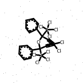 ClC#CC(OC(C#CCl)(c1ccccc1)I(Cl)(Cl)(Cl)Cl)(c1ccccc1)I(Cl)(Cl)(Cl)Cl